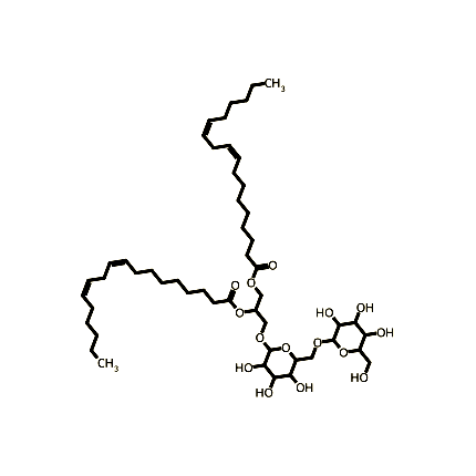 CCCCC/C=C\C/C=C\CCCCCCCC(=O)OCC(COC1OC(COC2OC(CO)C(O)C(O)C2O)C(O)C(O)C1O)OC(=O)CCCCCCC/C=C\C/C=C\CCCCC